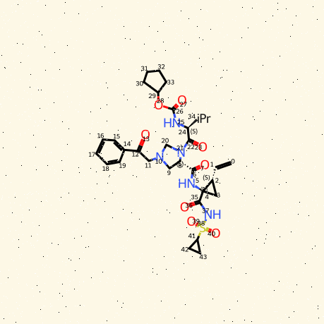 C=C[C@@H]1C[C@]1(NC(=O)[C@@H]1CN(CC(=O)c2ccccc2)CN1C(=O)[C@@H](NC(=O)OC1CCCC1)C(C)C)C(=O)NS(=O)(=O)C1CC1